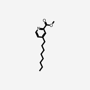 CCCCCCCCc1ccnc(C(=O)OC)c1